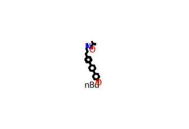 C=C(C)C(=O)N(C)CCCc1ccc(C2CCC(C3CCC(OCCCC)CC3)CC2)cc1